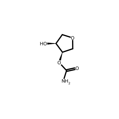 NC(=O)O[C@@H]1COC[C@@H]1O